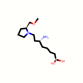 COC[C@@H]1CCCN1CC[C@H](N)CCCCB(O)O